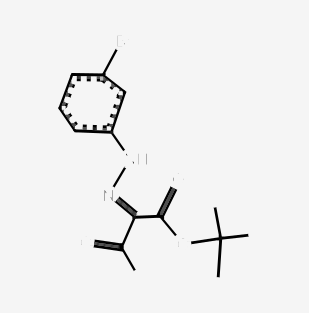 CC(=O)C(=NNc1cccc(Br)c1)C(=O)OC(C)(C)C